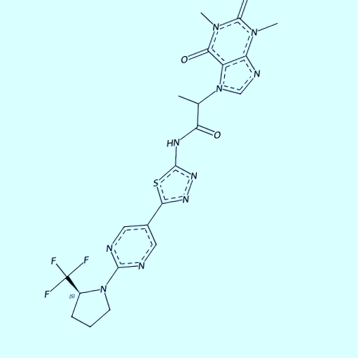 CC(C(=O)Nc1nnc(-c2cnc(N3CCC[C@H]3C(F)(F)F)nc2)s1)n1cnc2c1c(=O)n(C)c(=O)n2C